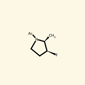 CC(=O)N1CC[C@H](F)[C@@H]1C